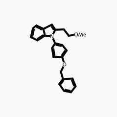 COCCc1cc2ccccc2n1-c1ccc(OCc2ccccc2)cc1